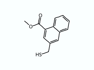 COC(=O)c1cc(CS)cc2ccccc12